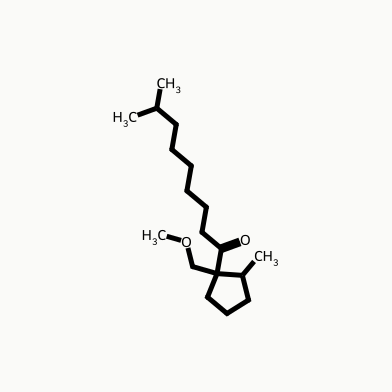 COCC1(C(=O)CCCCCCC(C)C)CCCC1C